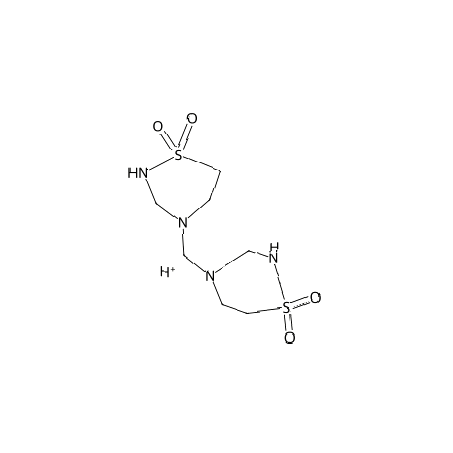 O=S1(=O)CCN(CN2CCS(=O)(=O)NC2)CN1.[H+]